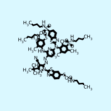 CCCCNOOSc1ccc2nc(-n3nc(C(C)(C)C)c(C#N)c3N=Nc3ccc(N(c4nc5ccc(S(=O)(=O)NCCCC)cc5s4)c4c(C)cc(C)c(S(=O)(=O)NCCCC)c4C)nc3Nc3cc(SOONCCCC)c(C)cc3C)sc2c1